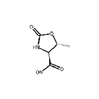 C[C@H]1OC(=O)N[C@@H]1C(=O)N=O